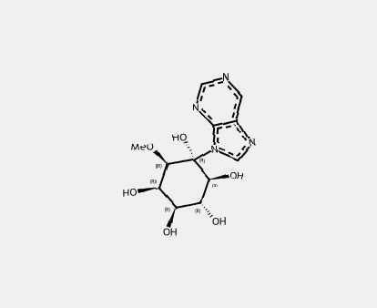 CO[C@@H]1[C@H](O)[C@H](O)[C@@H](O)[C@H](O)[C@]1(O)n1cnc2cncnc21